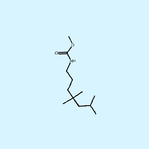 COC(=O)NCCCC(C)(C)CC(C)C